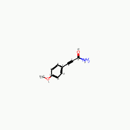 CCOc1ccc(C#CC(N)=O)cc1